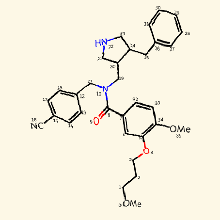 COCCCOc1cc(C(=O)N(Cc2ccc(C#N)cc2)CC2CNCC2Cc2ccccc2)ccc1OC